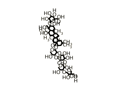 CC1OC(OC2C(OC(=O)C34CCC(C)(C)CC3C3=CCC5C6(C)CC(O)C(OC7OC(C(=O)O)C(O)C(O)C7O)C(C)(CO)C6C(O)CC5(C)C3(C)CC4)OCC(O)C2O)C(O)C(O)C1OC1OCC(O)C(OC2OCC(O)(CO)C2O)C1O